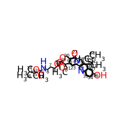 CCC1(OC(=O)CCCNC(=O)OC(C)(C)C)C(=O)OCc2c1cc1n(c2=O)Cc2c-1nc1ccc(O)cc1c2[Si](C)(C)CC